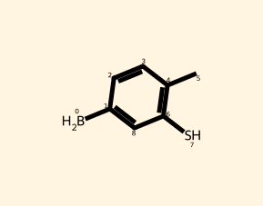 Bc1ccc(C)c(S)c1